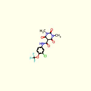 CN1C(=O)C(C(=O)Nc2ccc(OC(F)(F)F)c(Cl)c2)C(=O)N(C)C1=O